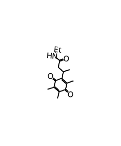 CCNC(=O)CC(C)C1=C(C)C(=O)C(C)=C(C)C1=O